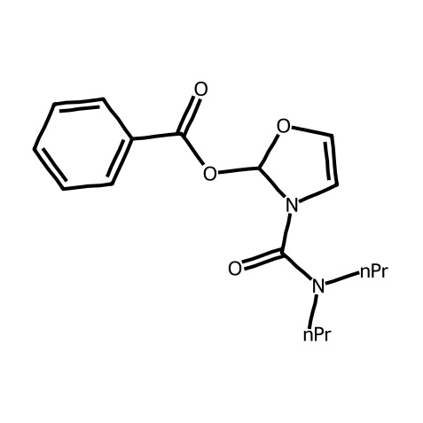 CCCN(CCC)C(=O)N1C=COC1OC(=O)c1ccccc1